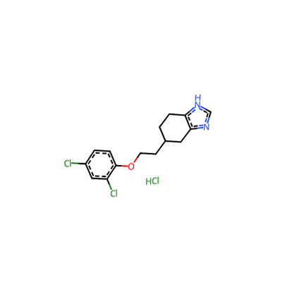 Cl.Clc1ccc(OCCC2CCc3[nH]cnc3C2)c(Cl)c1